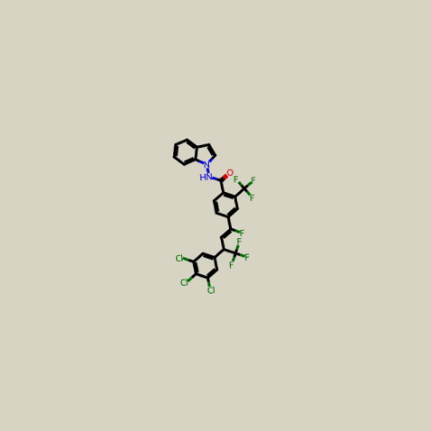 O=C(Nn1ccc2ccccc21)c1ccc(C(F)=CC(c2cc(Cl)c(Cl)c(Cl)c2)C(F)(F)F)cc1C(F)(F)F